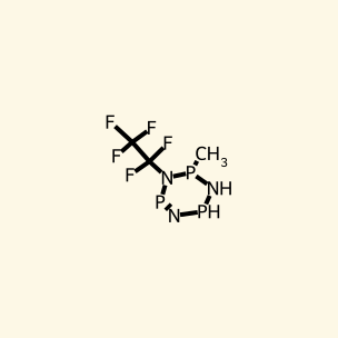 Cp1[nH][pH]npn1C(F)(F)C(F)(F)F